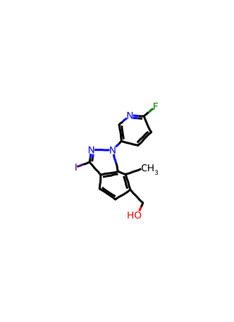 Cc1c(CO)ccc2c(I)nn(-c3ccc(F)nc3)c12